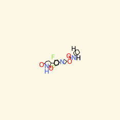 O=C1CCC(c2c(F)cc(N3CC(OC(=O)N[C@@H]4C[C@H]5CC[C@@H]4C5)C3)cc2F)C(=O)N1